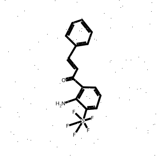 Nc1c(C(=O)C=Cc2ccccc2)cccc1S(F)(F)(F)(F)F